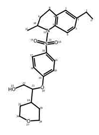 CCc1ccc2c(c1)CCC(C)N2S(=O)(=O)c1ccc(OC(CO)C2CCOCC2)cc1